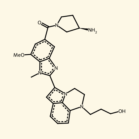 COc1cc(C(=O)N2CC[C@@H](N)C2)cc2nc(-c3cc4cccc5c4n3CCN5CCCO)n(C)c12